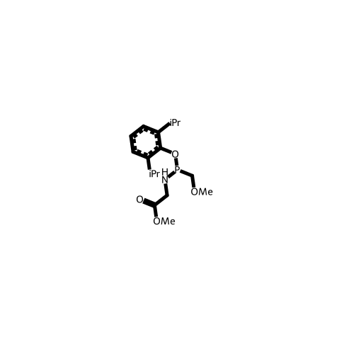 COCP(NCC(=O)OC)Oc1c(C(C)C)cccc1C(C)C